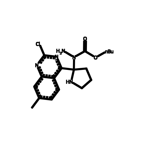 CCCCOC(=O)N(N)C1(c2nc(Cl)nc3cc(C)ccc23)CCCN1